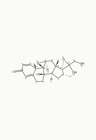 C[C@@H]1C[C@H]2[C@@H]3CCC4=CC(=O)C=C[C@]4(C)[C@@]34O[C@H]4C[C@]2(C)[C@]12OC2(O)CO